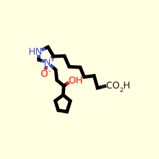 O=C(O)CCCCCCC1CNC[N+]1([O-])CCC(O)C1CCCC1